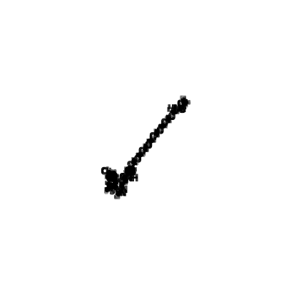 Cc1sc2c(c1C)C(c1ccc(Cl)cc1)=N[C@@H](CC(=O)Nc1ccc(OCCOCCOCCOCCOCCOCCOCCOCCNC(=O)OC(C)(C)C)cc1)c1nnc(C)n1-2